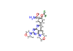 C[C@H]1COCCN1c1nc(N2CCOC[C@@H]2C)c2ccc(-c3ccc(OC(F)F)c(C(N)=O)c3)nc2n1